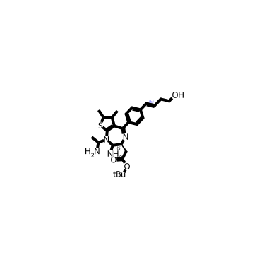 CC1SC2=C(C(c3ccc(/C=C/CCO)cc3)=N[C@@H](CC(=O)OC(C)(C)C)C(N)N2C(C)N)C1C